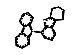 C1=Cc2c(sc3c(-n4c5ccccc5c5ccccc54)cccc23)CC1